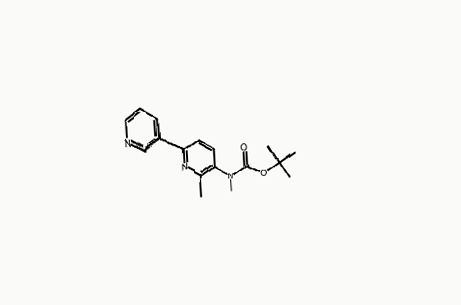 Cc1nc(-c2cccnc2)ccc1N(C)C(=O)OC(C)(C)C